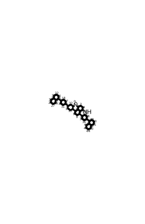 CN1c2ccc3c4c(ccc(c24)C2C=CC(c4ccc(-c5cccc6ccccc56)cc4)=CC21)-c1ccc(-c2cccc4ccccc24)cc1N3